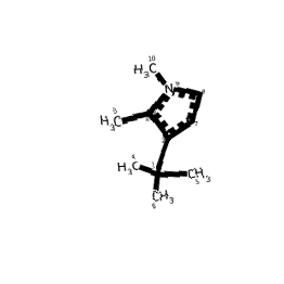 Cc1c(C(C)(C)C)ccn1C